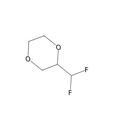 FC(F)C1COCCO1